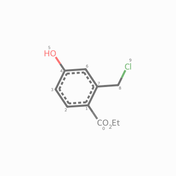 CCOC(=O)c1ccc(O)cc1CCl